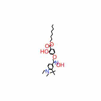 CCCCCCCCOC(=O)c1ccc(OCC(=NO)c2ccc(N(CC)CC)c(C(C)(C)C)c2)cc1O